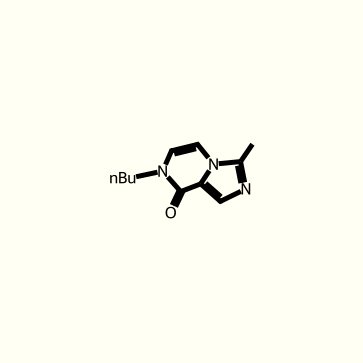 CCCCn1ccn2c(C)ncc2c1=O